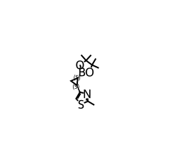 Cc1nc([C@H]2C[C@@H]2B2OC(C)(C)C(C)(C)O2)cs1